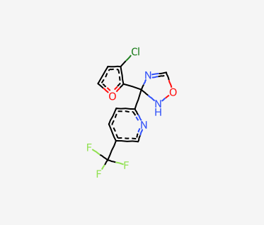 FC(F)(F)c1ccc(C2(c3occc3Cl)N=CON2)nc1